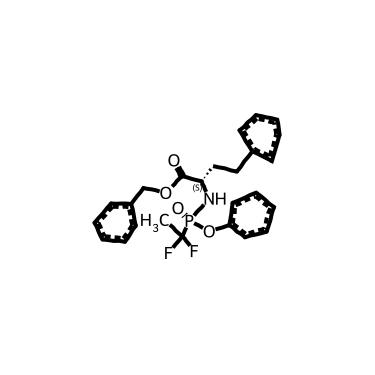 CC(F)(F)P(=O)(N[C@@H](CCc1ccccc1)C(=O)OCc1ccccc1)Oc1ccccc1